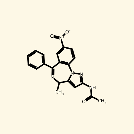 CC(=O)Nc1cc2n(n1)-c1ccc([N+](=O)[O-])cc1C(c1ccccc1)=NC2C